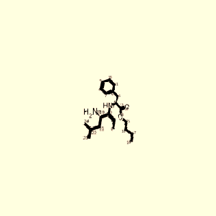 CC=C(N[C@@H](Cc1ccccc1)C(=O)OCCCC)[C@@H](N)CC(C)C